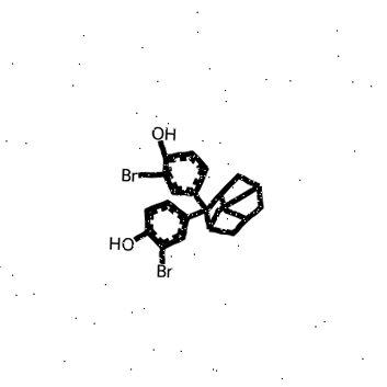 Oc1ccc(C2(c3ccc(O)c(Br)c3)C3CC4CC(C3)CC2C4)cc1Br